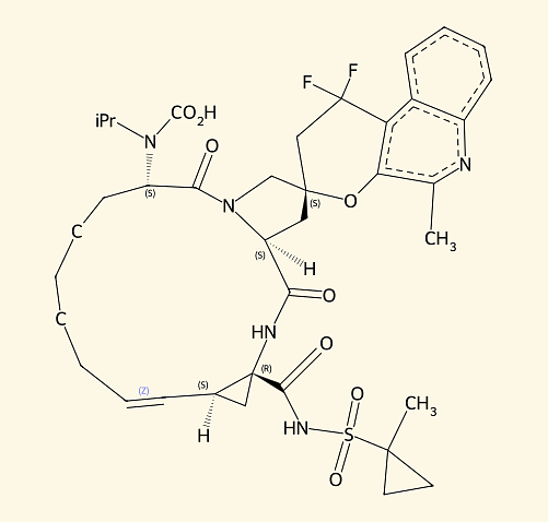 Cc1nc2ccccc2c2c1O[C@@]1(C[C@H]3C(=O)N[C@]4(C(=O)NS(=O)(=O)C5(C)CC5)C[C@H]4/C=C\CCCCC[C@H](N(C(=O)O)C(C)C)C(=O)N3C1)CC2(F)F